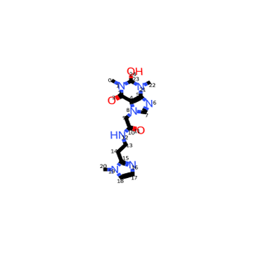 CN1C(=O)c2c(ncn2CC(=O)NCCc2nccn2C)N(C)C1O